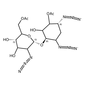 CC(=O)OCC1O[C@H](O[C@@H]2C(N=[N+]=[N-])C[C@@H](N=[N+]=[N-])C(OC(C)=O)C2O)C(N=[N+]=[N-])C(O)[C@@H]1O